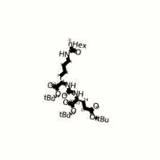 CCCCCCC(=O)NCCCC[C@H](NC(=O)N[C@@H](CCC(=O)OC(C)(C)C)C(=O)OC(C)(C)C)C(=O)OC(C)(C)C